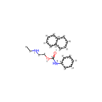 CCNCCOC(=O)Nc1ccccc1.c1ccc2ccccc2c1